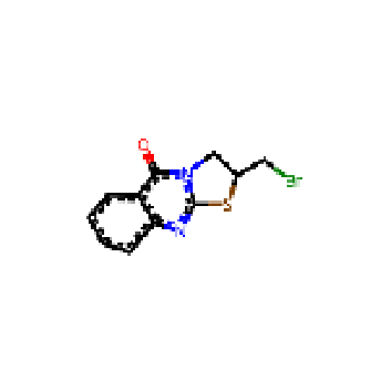 O=c1c2ccccc2nc2n1CC(CBr)S2